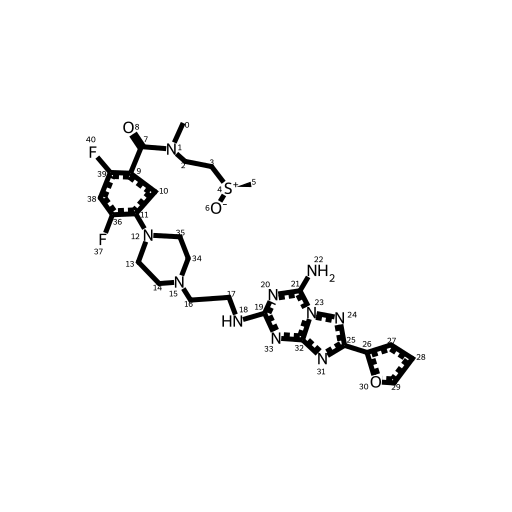 CN(CC[S@@+](C)[O-])C(=O)c1cc(N2CCN(CCNc3nc(N)n4nc(-c5ccco5)nc4n3)CC2)c(F)cc1F